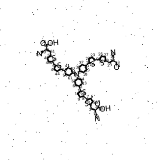 N#C/C(=C/c1ccc(-c2ccc(-c3ccc(N(c4ccc(-c5ccc(-c6ccc(/C=C(\C#N)C=O)s6)s5)cc4)c4ccc(-c5ccc(-c6ccc(/C=C(\C#N)C(=O)O)s6)s5)cc4)cc3)s2)s1)C(=O)O